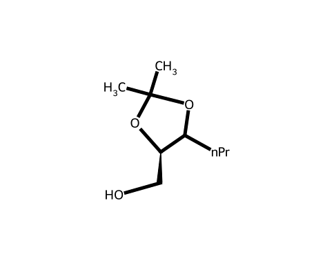 CCCC1OC(C)(C)O[C@@H]1CO